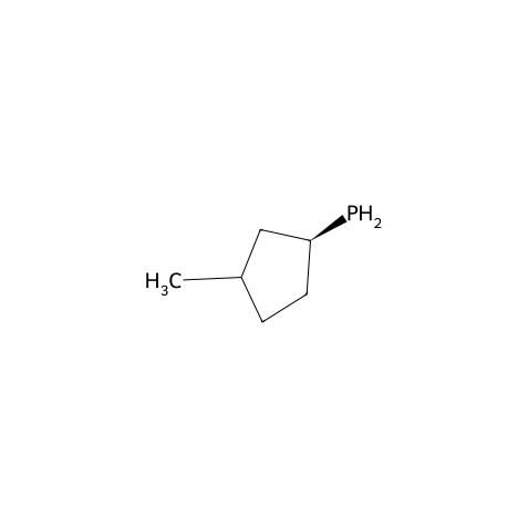 CC1CC[C@H](P)C1